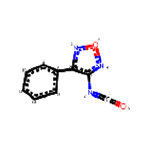 O=C=Nc1nonc1-c1ccccc1